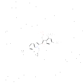 COc1ccc2cc(-c3oc4cc(C=O)cc(OC)c4c3CCO)n(CC3CC3)c2c1